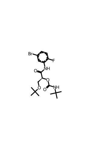 CC(C)(C)NC(=O)O[C@@H](COC(C)(C)C)C(=O)Nc1cc(Br)ccc1F